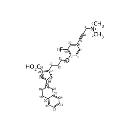 CN(C)CC#Cc1ccc(OCCCc2sc(N3CCc4ccccc4C3)nc2C(=O)O)c(F)c1